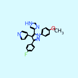 COc1ccc(-n2nc(-c3ccc(F)cc3)c(-c3ccncc3)c2-c2c[nH]cn2)cc1